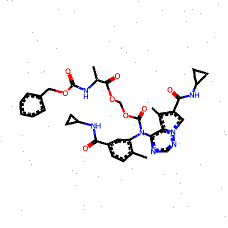 Cc1ccc(C(=O)NC2CC2)cc1N(C(=O)OCOC(=O)C(C)NC(=O)OCc1ccccc1)c1ncnn2cc(C(=O)NC3CC3)c(C)c12